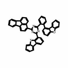 c1ccc(-c2cccc3oc4ccccc4c23)c(-c2nc(-c3ccc4c5c(cccc35)-c3ccccc3-4)nc(-c3cccc4c3sc3ccccc34)n2)c1